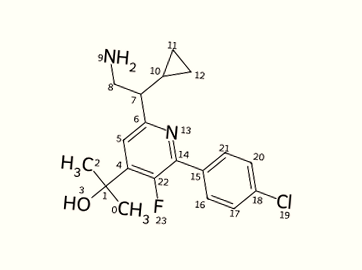 CC(C)(O)c1cc(C(CN)C2CC2)nc(-c2ccc(Cl)cc2)c1F